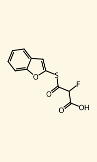 O=C(O)C(F)C(=O)Sc1cc2ccccc2o1